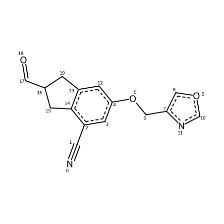 N#Cc1cc(OCc2cocn2)cc2c1CC(C=O)C2